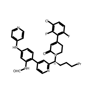 CC(C)CCC[C@@H](c1cc(-c2ccc(Nc3ccncc3)cc2NC=O)ccn1)N1CCC(c2c(F)ccc(Cl)c2F)=CC1=O